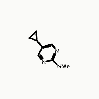 CNc1ncc(C2CC2)cn1